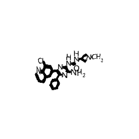 CN1CC(NC(=O)Nc2nc(-c3cc(Cl)c4ncccc4c3)c(-c3ccccc3)nc2N)C1